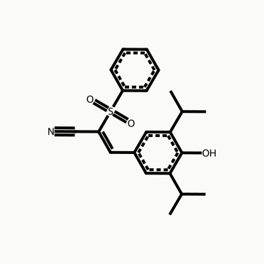 CC(C)c1cc(/C=C(/C#N)S(=O)(=O)c2ccccc2)cc(C(C)C)c1O